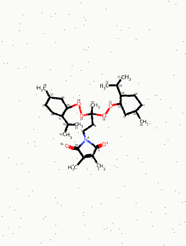 CC1=C(C)C(=O)N(CCC(C)(OOC2CC(C)CCC2C(C)C)OOC2CC(C)CCC2C(C)C)C1=O